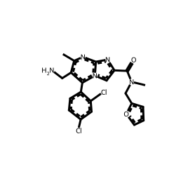 Cc1nc2nc(C(=O)N(C)Cc3ccco3)cn2c(-c2ccc(Cl)cc2Cl)c1CN